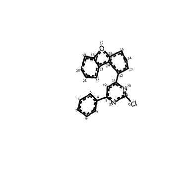 Clc1nc(-c2ccccc2)cc(-c2cccc3oc4ccccc4c23)n1